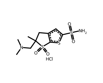 CN(C)CC1(C)Cc2cc(S(N)(=O)=O)sc2S1(=O)=O.Cl